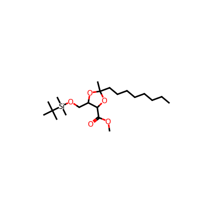 CCCCCCCCC1(C)OC(CO[Si](C)(C)C(C)(C)C)C(C(=O)OC)O1